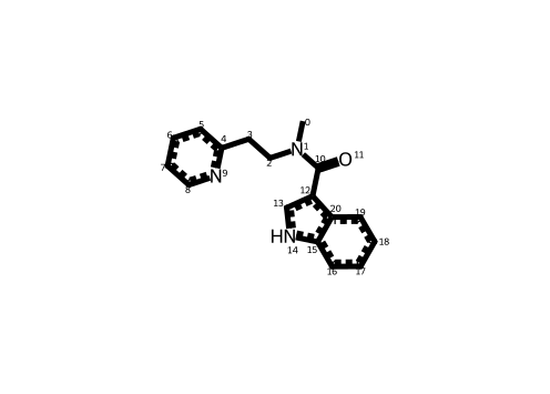 CN(CCc1ccccn1)C(=O)c1c[nH]c2ccccc12